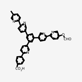 Cc1ccc(-c2ccc(-c3cc(-c4ccc(-c5ccc(C(=O)O)cc5)nc4)cc(-c4ccc(-c5ccc(OC=O)cn5)nc4)c3)cn2)nc1